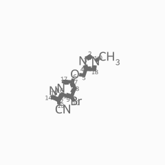 Cn1cnc(COc2cc(Br)c3c(C#N)cnn3c2)c1